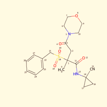 CC(CC(=O)N1CCOCC1)(C(=O)NC1(C#N)CC1)S(=O)(=O)Cc1ccccc1